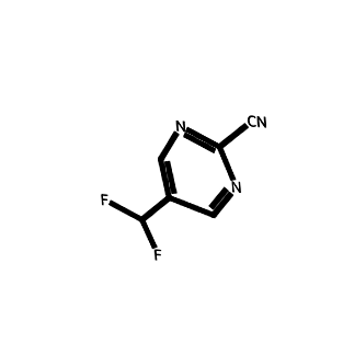 N#Cc1ncc(C(F)F)cn1